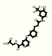 O=C(O)CNC(=O)c1cc(Oc2cccc(CCC(=O)Nc3ccc(Cl)c(C(F)(F)F)c3)c2)ccn1